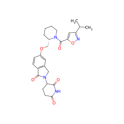 CC(C)c1cc(C(=O)N2CCCC[C@H]2COc2ccc3c(c2)CN(C2CCC(=O)NC2=O)C3=O)on1